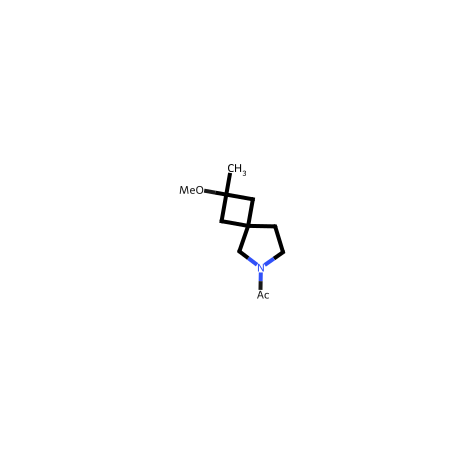 COC1(C)CC2(CCN(C(C)=O)C2)C1